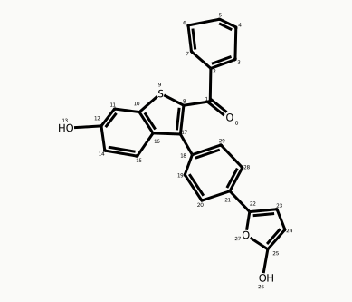 O=C(c1ccccc1)c1sc2cc(O)ccc2c1-c1ccc(-c2ccc(O)o2)cc1